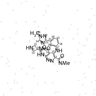 CNC(=O)c1nnc(NC(=O)C2CNC2)cc1Nc1cccc(-c2ncn(C)n2)c1OC